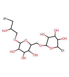 CCC1OC(OCC2OC(OCC(O)CC(C)C)C(O)C(O)C2O)C(O)C(O)C1O